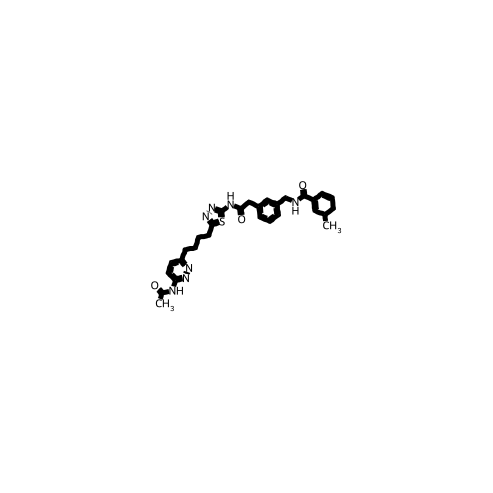 CC(=O)Nc1ccc(CCCCc2nnc(NC(=O)Cc3cccc(CNC(=O)C4=CC(C)CC=C4)c3)s2)nn1